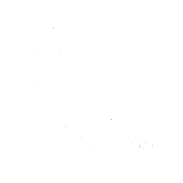 CCCCc1ccc2cc3c(cc2c1)C(=O)C1(CC3)CC2=CCC1C2